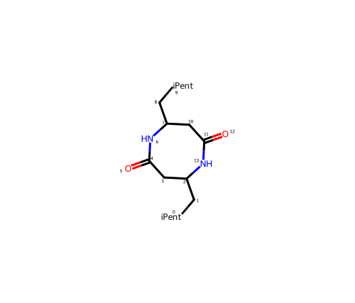 CCCC(C)CC1CC(=O)NC(CC(C)CCC)CC(=O)N1